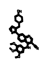 COc1cc(Nc2c(C#N)cnc3cc(-c4sccc4CN4CCC(O)CC4)ccc23)cc(OC)c1OC